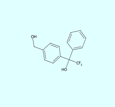 OCc1ccc(C(O)(c2ccccc2)C(F)(F)F)cc1